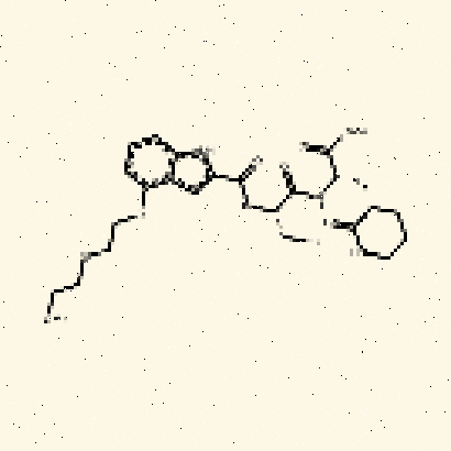 COCCOCCOc1cccc2[nH]c(C(=O)N[C@@H](CC(C)(C)C)C(=O)N[C@@H](C[C@@H]3CCCNC3=O)C(=O)OC)cc12